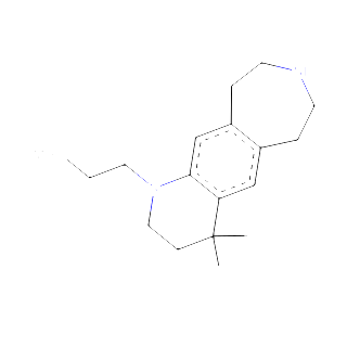 COCCN1CCC(C)(C)c2cc3c(cc21)CCNCC3